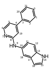 c1ccc(-c2ccnc(Nc3ccc4[nH]ccc4c3)c2)cc1